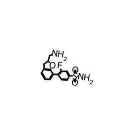 NCC1Cc2cccc(-c3ccc(S(N)(=O)=O)cc3F)c2O1